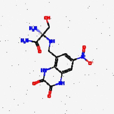 NC(=O)[C@@](N)(CO)NCc1cc([N+](=O)[O-])cc2[nH]c(=O)c(=O)[nH]c12